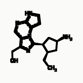 CC[C@@H]1C[C@H](N)C[C@@H]1c1nc(CO)c2cnc3[nH]ccc3n12